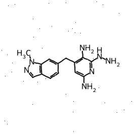 Cn1ncc2ccc(Cc3cc(N)nc(NN)c3N)cc21